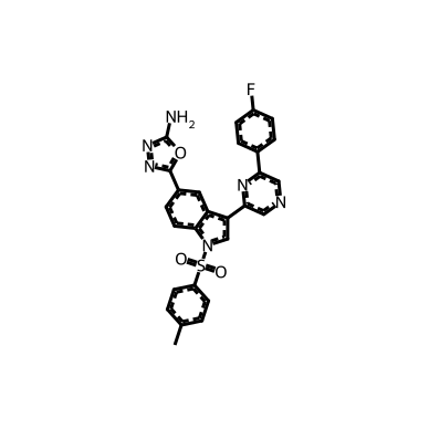 Cc1ccc(S(=O)(=O)n2cc(-c3cncc(-c4ccc(F)cc4)n3)c3cc(-c4nnc(N)o4)ccc32)cc1